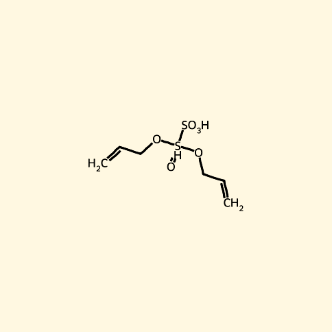 C=CCO[SH](=O)(OCC=C)S(=O)(=O)O